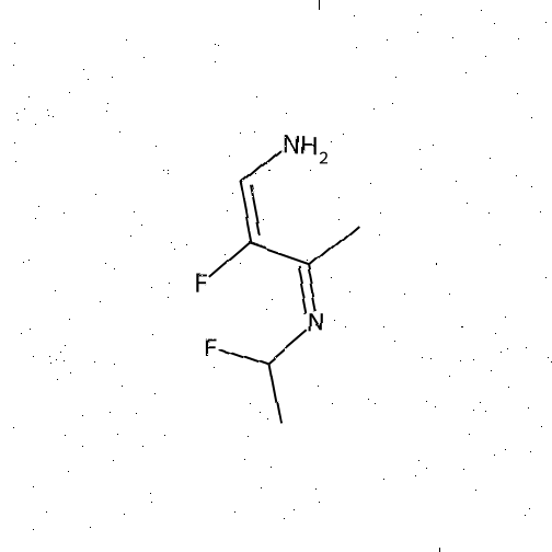 CC(=N/C(C)F)/C(F)=C\N